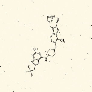 Cc1c(CN2CCC(Nc3nc(O)nc4sc(CC(F)(F)F)cc34)CC2)ccc2c1cc(C#N)n2Cc1cn[nH]c1